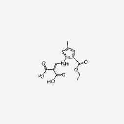 CCOC(=O)c1cc(C)sc1NC=C(C(=O)O)C(=O)O